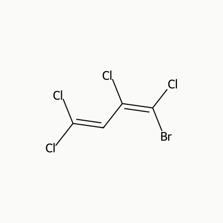 ClC(Cl)=CC(Cl)=C(Cl)Br